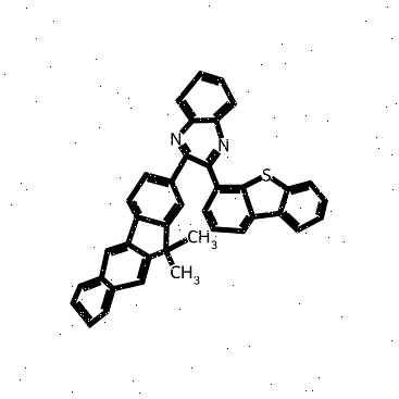 CC1(C)c2cc(-c3nc4ccccc4nc3-c3cccc4c3sc3ccccc34)ccc2-c2cc3ccccc3cc21